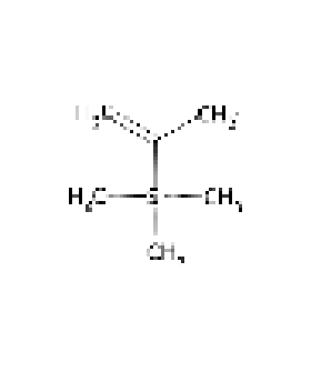 [CH2]C(=C)[Si](C)(C)C